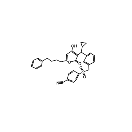 N#Cc1ccc(S(=O)(=O)Cc2cccc(C(c3c(O)cc(CCCCc4ccccc4)oc3=O)C3CC3)c2)cc1